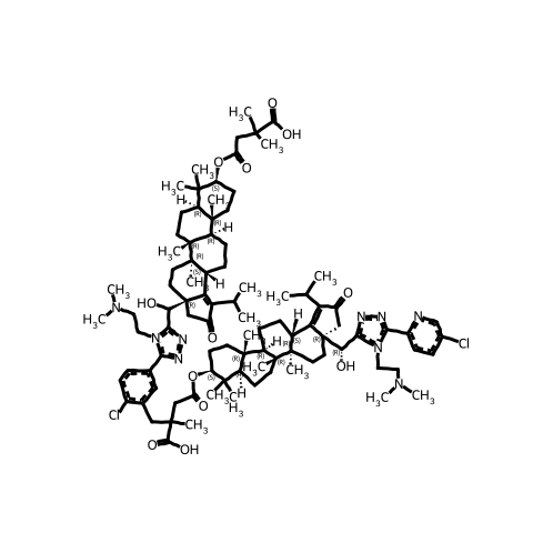 CC(C)C1=C2[C@H]3CC[C@@H]4[C@@]5(C)CC[C@H](OC(=O)CC(C)(C)C(=O)O)C(C)(C)[C@@H]5CC[C@@]4(C)[C@]3(C)CC[C@@]2(C(O)c2nnc(-c3ccc(Cl)c(CC(C)(CC(=O)O[C@H]4CC[C@]5(C)[C@H]6CC[C@@H]7C8=C(C(C)C)C(=O)C[C@]8([C@@H](O)c8nnc(-c9ccc(Cl)cn9)n8CCN(C)C)CC[C@@]7(C)[C@]6(C)CC[C@H]5C4(C)C)C(=O)O)c3)n2CCN(C)C)CC1=O